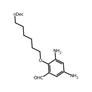 CCCCCCCCCCCCCCCCOc1c(N)cc(N)cc1[C]=O